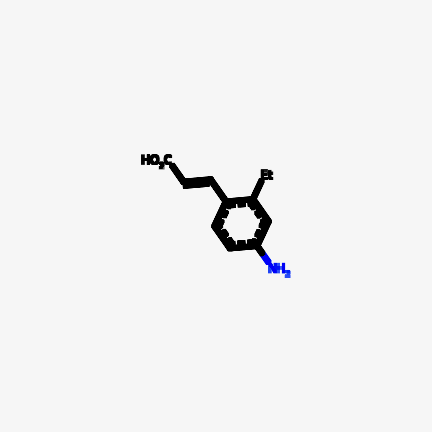 CCc1cc(N)ccc1C=CC(=O)O